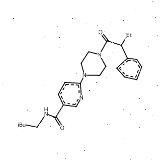 CCC(C)CNC(=O)c1ccc(N2CCN(C(=O)C(CC)c3ccccc3)CC2)nc1